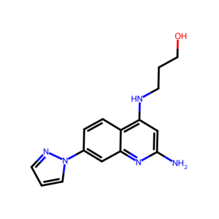 Nc1cc(NCCCO)c2ccc(-n3cccn3)cc2n1